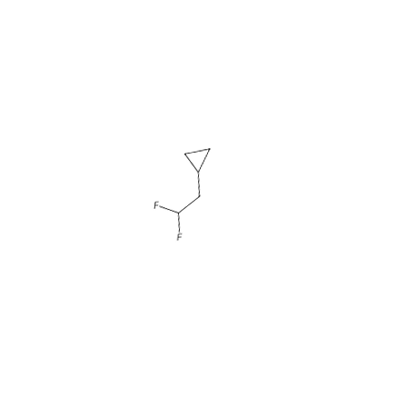 FC(F)CC1CC1